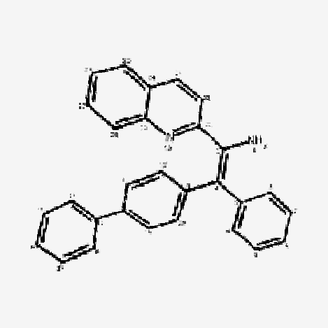 NC(=C(c1ccccc1)c1ccc(-c2ccccc2)cc1)c1ccc2ccccc2n1